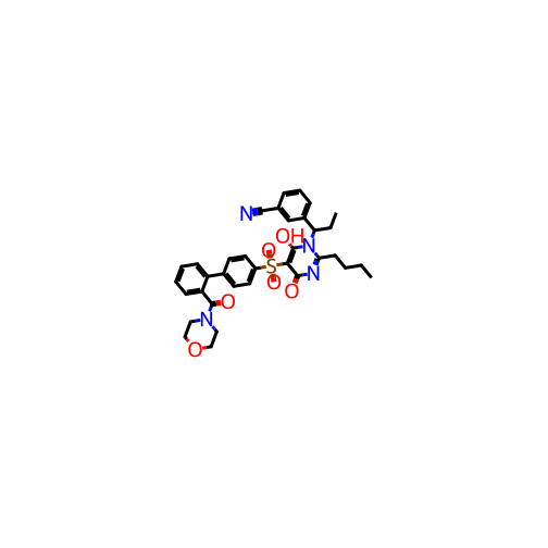 CCCCc1nc(=O)c(S(=O)(=O)c2ccc(-c3ccccc3C(=O)N3CCOCC3)cc2)c(O)n1C(CC)c1cccc(C#N)c1